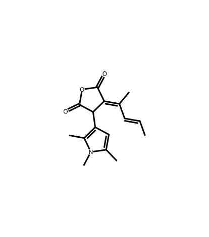 CC=C/C(C)=C1/C(=O)OC(=O)C1c1cc(C)n(C)c1C